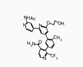 CC(=O)Nc1cc(-c2cc(-c3cc(-c4c(C(N)=O)ccnc4C(F)(F)F)ccc3C)cc(OCCO)n2)ccn1